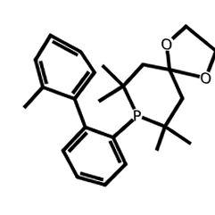 Cc1ccccc1-c1ccccc1P1C(C)(C)CC2(CC1(C)C)OCCO2